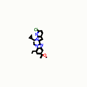 C=C(OC)c1cc(CC)c2c(c1)nc(-c1cc3ccc(Cl)nc3n1CC1CC1)n2CC